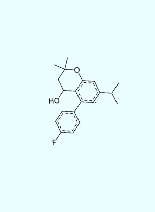 CC(C)c1[c]c(-c2ccc(F)cc2)c2c(c1)OC(C)(C)CC2O